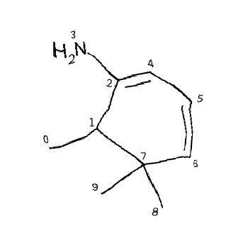 CC1C(N)=CC=CC1(C)C